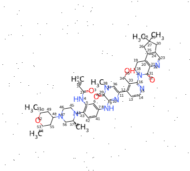 C=CC(=O)Nc1cc(Nc2nc(-c3ccnc(N4CCc5c(ncc6c5CC(C)(C)C6)C4=O)c3CO)cn(C)c2=O)ccc1N1CCN(C2C[C@@H](C)O[C@@H](C)C2)C[C@@H]1C